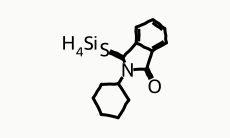 O=C1c2ccccc2C(=S)N1C1CCCCC1.[SiH4]